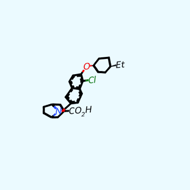 CC[C@H]1CC[C@@H](Oc2ccc3cc(CN4C5CCC4CC(C(=O)O)C5)ccc3c2Cl)CC1